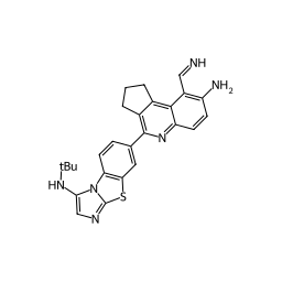 CC(C)(C)Nc1cnc2sc3cc(-c4nc5ccc(N)c(C=N)c5c5c4CCC5)ccc3n12